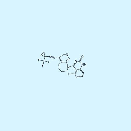 O=c1nc(N2CCCCc3c(C#CC4(C(F)(F)F)CC4)cncc32)c2c(F)cccc2[nH]1